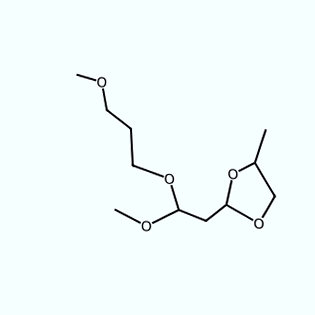 COCCCOC(CC1OCC(C)O1)OC